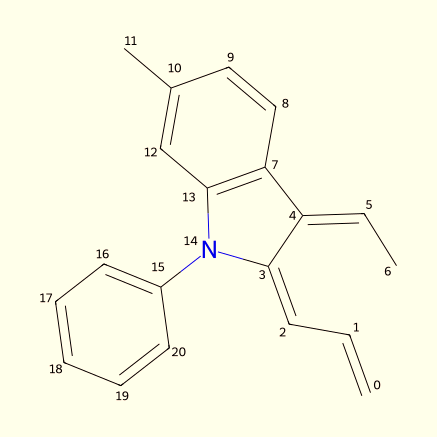 C=C/C=c1\c(=C/C)c2ccc(C)cc2n1-c1ccccc1